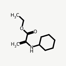 C=C(NC1CCCCC1)C(=O)OCC